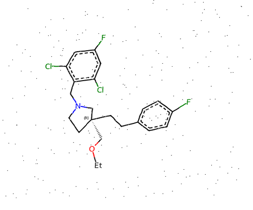 CCOC[C@]1(CCc2ccc(F)cc2)CCN(Cc2c(Cl)cc(F)cc2Cl)C1